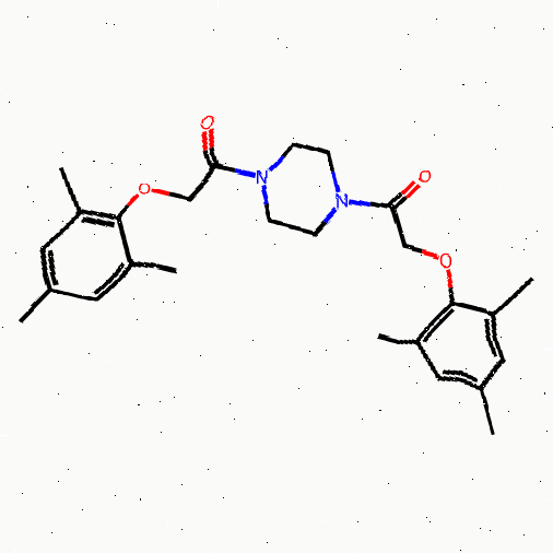 Cc1cc(C)c(OCC(=O)N2CCN(C(=O)COc3c(C)cc(C)cc3C)CC2)c(C)c1